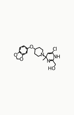 CC1(N2CCC(Oc3ccc4c(c3)OCO4)CC2)C=C(Cl)NC(CO)=N1